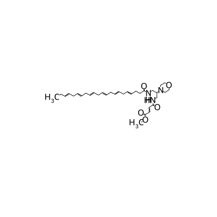 CCC=CCC=CCC=CCC=CCC=CCC=CCCC(=O)NCC(CNC(=O)C=CC(=O)OC)N1CCOCC1